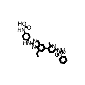 CCc1cc(-c2ccc(NS(=O)(=O)c3ccccc3)nc2C)cc2cnc(NC3CCC(NC(=O)O)CC3)nc12